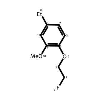 CCc1ccc(OCCF)c(OC)c1